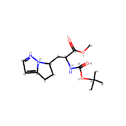 COC(=O)C(CC1CCc2ccnn21)NC(=O)OC(C)(C)C